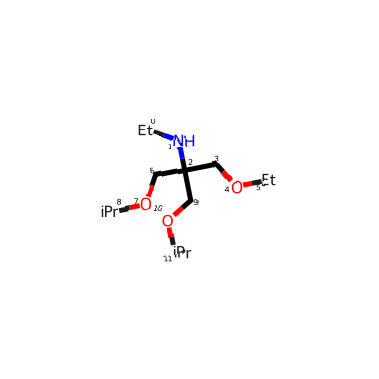 CCNC(COCC)(COC(C)C)COC(C)C